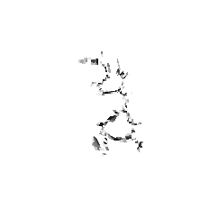 CCCCCc1ccc(Oc2ccc(C(C)(C)C)c(Br)c2)cc1